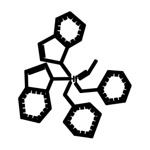 C[CH]=[Hf]([CH2]c1ccccc1)([CH2]c1ccccc1)([CH]1C=Cc2ccccc21)[CH]1C=Cc2ccccc21